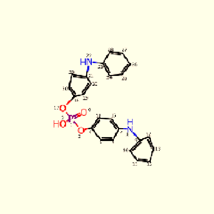 O=P(O)(Oc1ccc(Nc2ccccc2)cc1)Oc1ccc(Nc2ccccc2)cc1